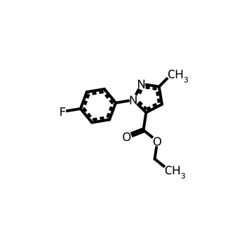 CCOC(=O)c1cc(C)nn1-c1ccc(F)cc1